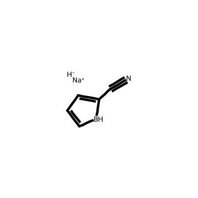 N#CC1=CC=CB1.[H-].[Na+]